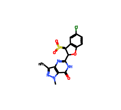 CCCc1nn(C)c2c(=O)[nH]c(C3Oc4ccc(Cl)cc4C3=S(=O)=O)nc12